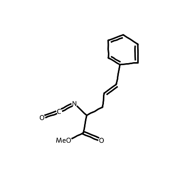 COC(=O)C(C/C=C/c1ccccc1)N=C=O